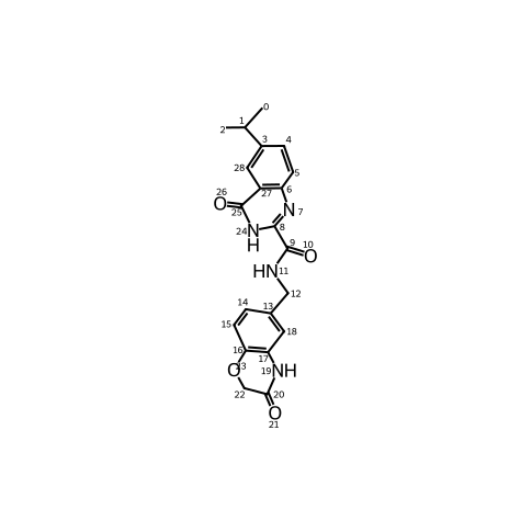 CC(C)c1ccc2nc(C(=O)NCc3ccc4c(c3)NC(=O)CO4)[nH]c(=O)c2c1